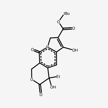 CCC1(O)C(=O)OCc2c1cc1n(c2=O)CC(C(=O)OC(C)(C)C)=C1O